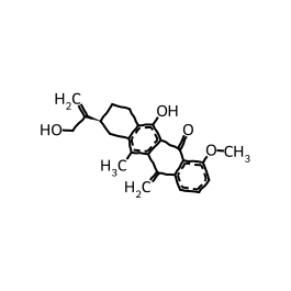 C=C1c2cccc(OC)c2C(=O)c2c(O)c3c(c(C)c21)C[C@@H](C(=C)CO)CC3